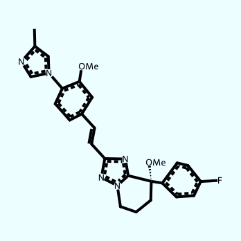 COc1cc(/C=C/c2nc3n(n2)CCC[C@]3(OC)c2ccc(F)cc2)ccc1-n1cnc(C)c1